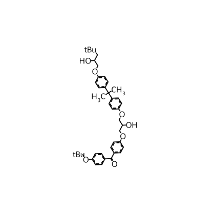 CC(C)(C)CC(O)COc1ccc(C(C)(C)c2ccc(OCC(O)COc3ccc(C(=O)c4ccc(OC(C)(C)C)cc4)cc3)cc2)cc1